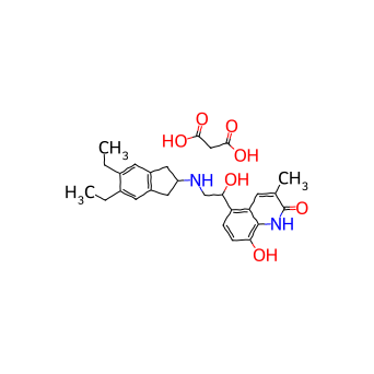 CCc1cc2c(cc1CC)CC(NCC(O)c1ccc(O)c3[nH]c(=O)c(C)cc13)C2.O=C(O)CC(=O)O